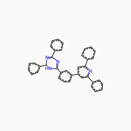 c1ccc(C2=NC(c3ccccc3)NC(c3cccc(-c4cc(-c5ccccc5)nc(-c5ccccc5)c4)c3)=N2)cc1